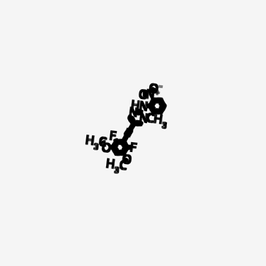 COc1cc(OC)c(F)c(C#Cc2cnc(Nc3c(C)cccc3[N+](=O)[O-])nc2)c1F